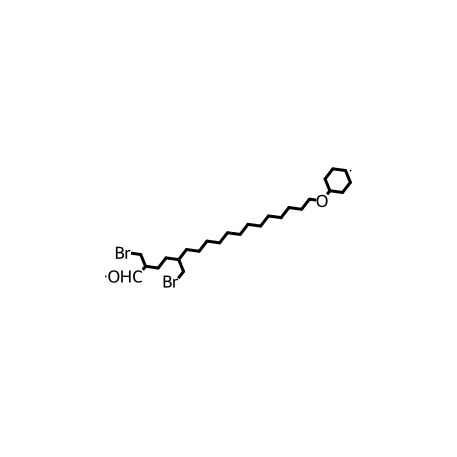 O=[C]C(CBr)CCC(CBr)CCCCCCCCCCCCCOC1CC[CH]CC1